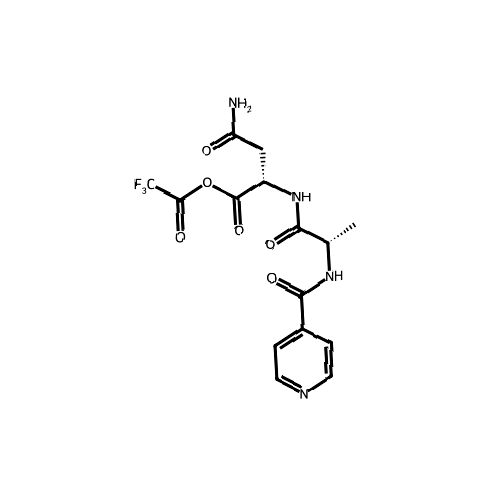 C[C@H](NC(=O)c1ccncc1)C(=O)N[C@@H](CC(N)=O)C(=O)OC(=O)C(F)(F)F